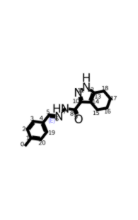 Cc1ccc(/C=N/NC(=O)c2n[nH]c3c2CCCC3)cc1